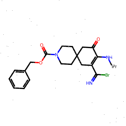 CC(C)NC1=C(C(=N)Br)CC2(CCN(C(=O)OCc3ccccc3)CC2)CC1=O